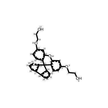 OCCOc1ccc2c(c1)Oc1cc(OCCO)ccc1C21c2ccccc2-c2ccccc21